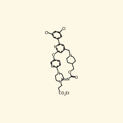 CCOC(=O)CCN1CCN(c2ccc(Oc3cc(CN4CCC(COC(=O)NC)CC4)cc(-c4cc(Cl)cc(Cl)c4)n3)cn2)CC1